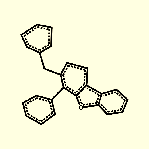 c1ccc(Cc2ccc3c(oc4ccccc43)c2-c2ccccc2)cc1